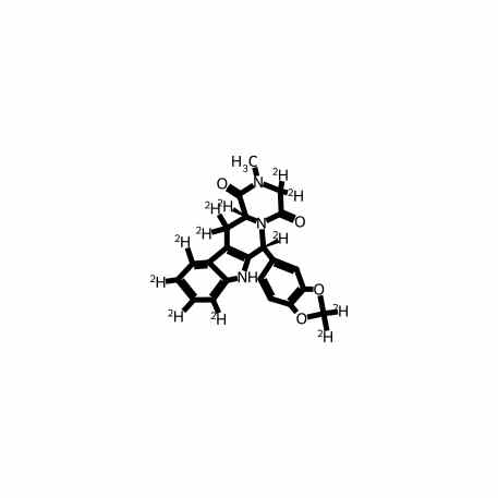 [2H]c1c([2H])c([2H])c2c3c([nH]c2c1[2H])[C@@]([2H])(c1ccc2c(c1)OC([2H])([2H])O2)N1C(=O)C([2H])([2H])N(C)C(=O)[C@@]1([2H])C3([2H])[2H]